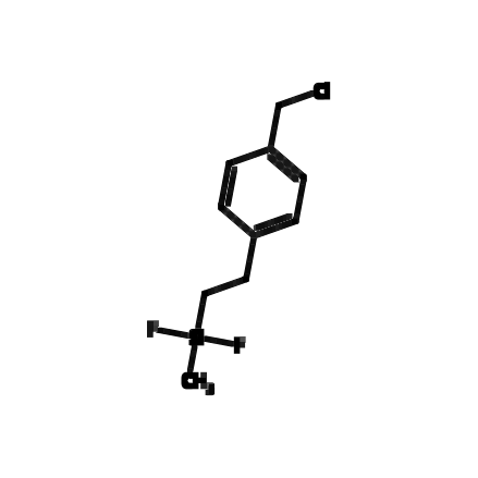 C[Si](F)(F)CCc1ccc(CCl)cc1